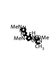 CNc1ncc2cc(-c3cccc(NS(=O)(=O)c4cc(C)cnc4OC)c3F)c(NC)nc2n1